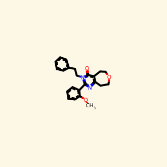 COc1ccccc1-c1nc2c(c(=O)n1CCc1ccccc1)CCOCC2